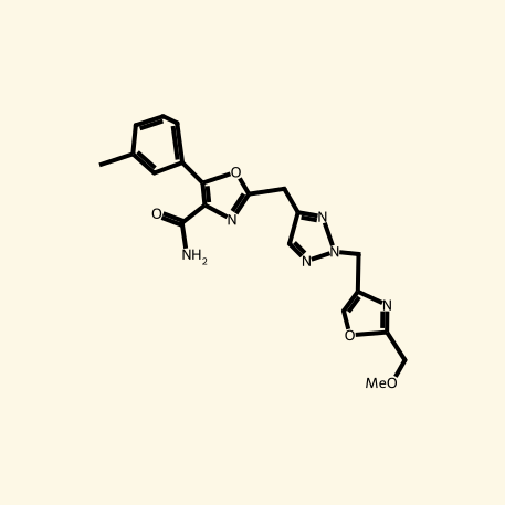 COCc1nc(Cn2ncc(Cc3nc(C(N)=O)c(-c4cccc(C)c4)o3)n2)co1